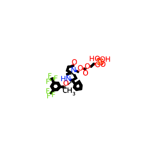 C[C@@H](OC[C@@]1(c2ccccc2)CC[C@]2(CCC(=O)N2COC(=O)OCCOP(=O)(O)O)CN1)c1cc(C(F)(F)F)cc(C(F)(F)F)c1